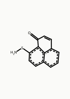 NSc1ccc2cccc3c2c1C(=O)C=C3